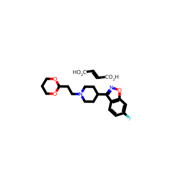 Fc1ccc2c(C3CCN(CCC4OCCCO4)CC3)noc2c1.O=C(O)/C=C/C(=O)O